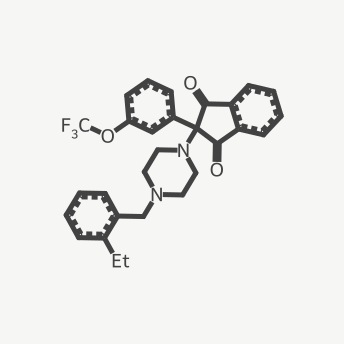 CCc1ccccc1CN1CCN(C2(c3cccc(OC(F)(F)F)c3)C(=O)c3ccccc3C2=O)CC1